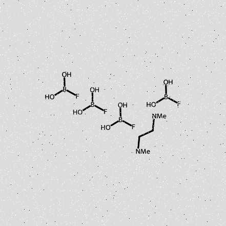 CNCCNC.OB(O)F.OB(O)F.OB(O)F.OB(O)F